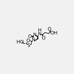 O=C(O)CCC(=O)Nc1ccn(C2CS[C@@H](CO)O2)c(=O)n1